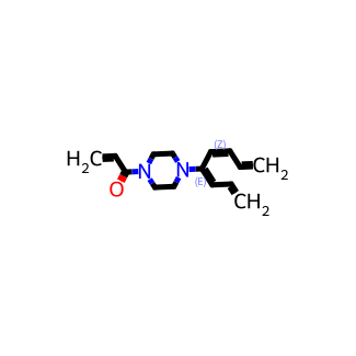 C=C/C=C\C(=C/C=C)N1CCN(C(=O)C=C)CC1